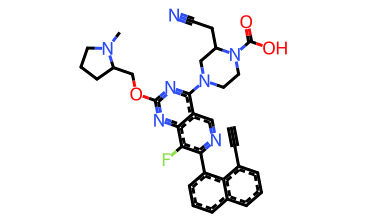 C#Cc1cccc2cccc(-c3ncc4c(N5CCN(C(=O)O)C(CC#N)C5)nc(OCC5CCCN5C)nc4c3F)c12